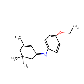 CCOc1ccc(/N=C2\C=C(C)CC(C)(C)C2)cc1